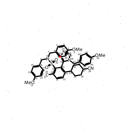 COc1ccc(CN(Cc2ccc(OC)cc2)S(=O)(=O)c2c(C(F)(F)F)ccc(C3CCC(C#N)CC3)c2-c2nnnn2Cc2ccc(OC)cc2)cc1